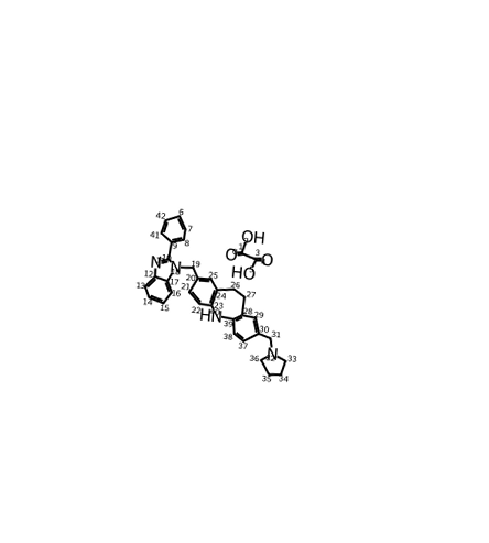 O=C(O)C(=O)O.c1ccc(-c2nc3ccccc3n2Cc2ccc3c(c2)CCc2cc(CN4CCCC4)ccc2N3)cc1